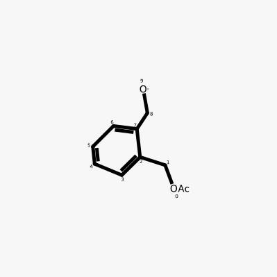 CC(=O)OCc1ccccc1C[O]